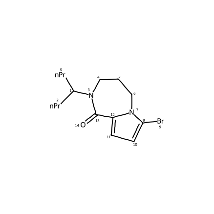 CCCC(CCC)N1CCCn2c(Br)ccc2C1=O